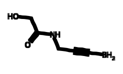 BC#CCNC(=O)CO